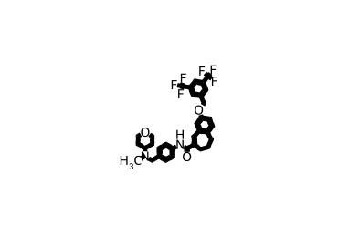 CN(Cc1ccc(NC(=O)C2=Cc3cc(OCc4cc(C(F)(F)F)cc(C(F)(F)F)c4)ccc3CCC2)cc1)C1CCOCC1